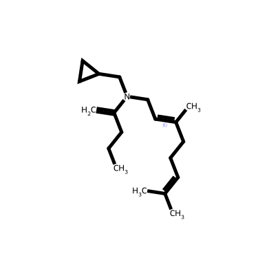 C=C(CCC)N(C/C=C(\C)CCC=C(C)C)CC1CC1